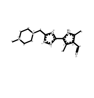 Cc1[nH]c(-c2nnc(CN3CCN(C)CC3)o2)c(C)c1C=O